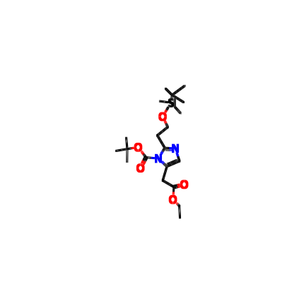 CCOC(=O)Cc1cnc(CCO[Si](C)(C)C(C)(C)C)n1C(=O)OC(C)(C)C